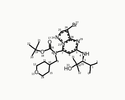 CC(C)[C@H](Nc1cc(N(CC2CCOCC2)C(=O)OC(C)(C)C)n2ncc(Br)c2n1)C(C)(C)O